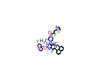 C#Cc1cccc2cccc(-c3ncc4c(N5CCN(C(=O)/C(F)=C/c6nccs6)C[C@@H]5C)nc(OC[C@@]56CCCN5C[C@H](F)C6)nc4c3F)c12